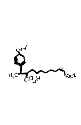 CCCCCCCC/C=C\CCCCCCC(C(=O)O)C(C)c1ccc(O)cc1